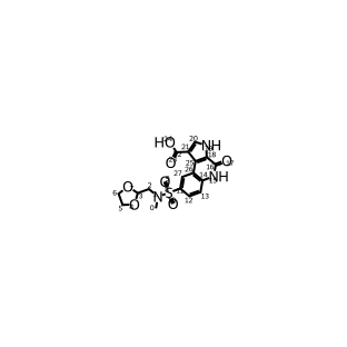 CN(CC1OCCO1)S(=O)(=O)c1ccc2[nH]c(=O)c3[nH]cc(C(=O)O)c3c2c1